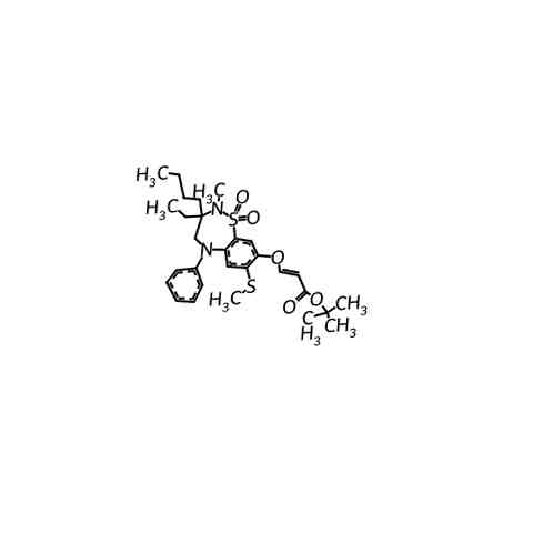 CCCCC1(CC)CN(c2ccccc2)c2cc(SC)c(O/C=C/C(=O)OC(C)(C)C)cc2S(=O)(=O)N1C